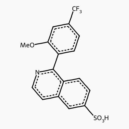 COc1cc(C(F)(F)F)ccc1-c1nccc2cc(S(=O)(=O)O)ccc12